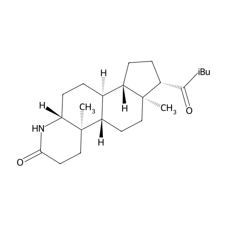 CCC(C)C(=O)[C@H]1CC[C@H]2[C@@H]3CC[C@H]4NC(=O)CC[C@]4(C)[C@H]3CC[C@]12C